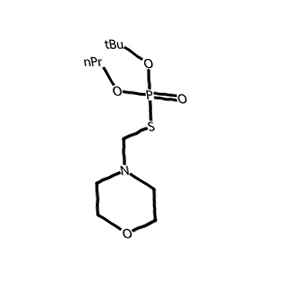 CCCOP(=O)(OC(C)(C)C)SCN1CCOCC1